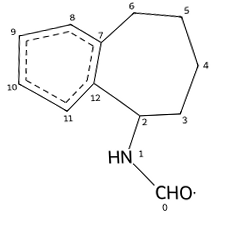 O=[C]NC1CCCCc2ccccc21